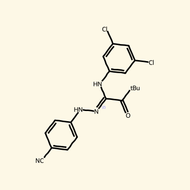 CC(C)(C)C(=O)/C(=N/Nc1ccc(C#N)cc1)Nc1cc(Cl)cc(Cl)c1